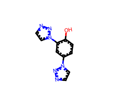 Oc1ccc(-n2ccnn2)cc1-n1ccnn1